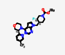 CC(C)(C)OC(=O)N1CC[C@@H](Cn2ccc3c(N4CCOC[C@@H]4c4ccc(C(F)(F)F)cn4)ncnc32)[C@H](F)C1